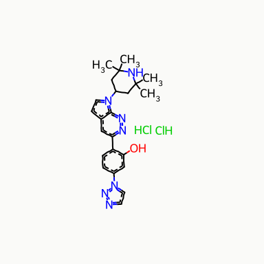 CC1(C)CC(n2ccc3cc(-c4ccc(-n5ccnn5)cc4O)nnc32)CC(C)(C)N1.Cl.Cl